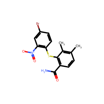 Cc1ccc(C(N)=O)c(Sc2ccc(Br)cc2[N+](=O)[O-])c1C